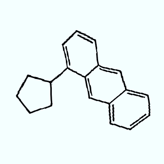 c1ccc2cc3c(C4CCCC4)cccc3cc2c1